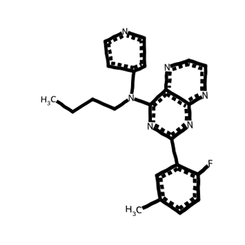 CCCCN(c1ccncc1)c1nc(-c2cc(C)ccc2F)nc2nccnc12